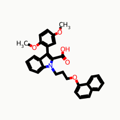 COc1ccc(OC)c(-c2c(C(=O)O)n(CCCOc3cccc4ccccc34)c3ccccc23)c1